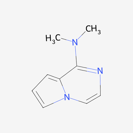 CN(C)c1nccn2cccc12